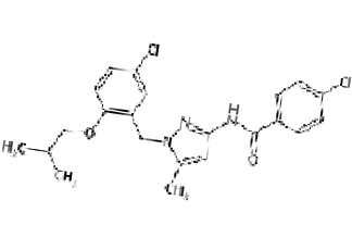 Cc1cc(NC(=O)c2ccc(Cl)cc2)nn1Cc1cc(Cl)ccc1OCC(C)C